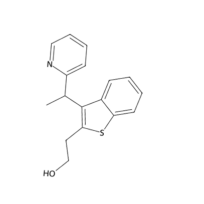 CC(c1ccccn1)c1c(CCO)sc2ccccc12